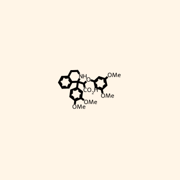 COc1cc(OC)cc(OC(C(=O)O)C2(c3ccc(OC)c(OC)c3)NCCc3ccccc32)c1